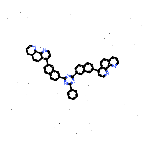 C1=CN=C2c3nccc(-c4ccc5ccc(-c6nc(-c7ccccc7)nc(-c7ccc8ccc(-c9ccnc%10c9ccc9cccnc9%10)cc8c7)n6)cc5c4)c3C=CC2C1